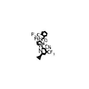 N#Cc1c(C(F)(F)F)cc(C2CC2)nc1-n1ccc(NC(=O)c2ccccc2C(F)(F)F)n1